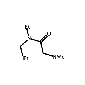 CCN(CC(C)C)C(=O)CNC